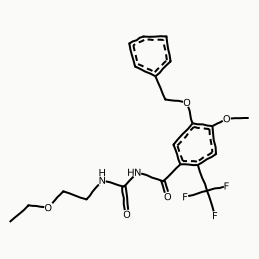 CCOCCNC(=O)NC(=O)c1cc(OCc2ccccc2)c(OC)cc1C(F)(F)F